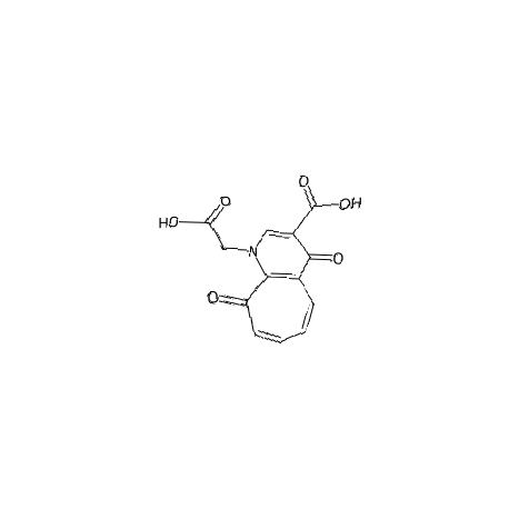 O=C(O)Cn1cc(C(=O)O)c(=O)c2ccccc(=O)c21